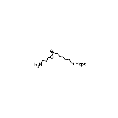 CCCCCCCCCCCCCC(=O)OCCCN